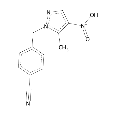 Cc1c([N+](=O)O)cnn1Cc1ccc(C#N)cc1